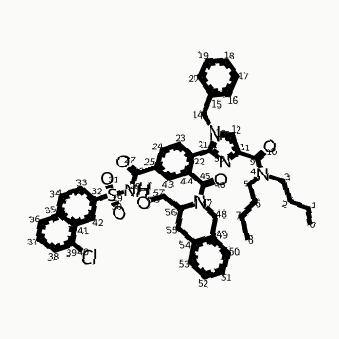 CCCCN(CCCC)C(=O)c1cn(Cc2ccccc2)c(-c2ccc(C(=O)NS(=O)(=O)c3ccc4cccc(Cl)c4c3)cc2C(=O)N2Cc3ccccc3CC2CO)n1